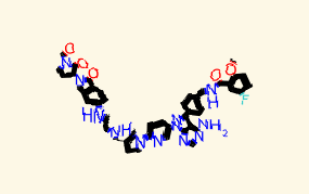 COc1ccc(F)cc1C(=O)NCc1ccc(-c2nn(-c3ccc(N4CC[C@H](CNCCNc5ccc6c(c5)CN([C@H]5CCN(C=O)C5=O)C6=O)C4)nc3)c3ncnc(N)c23)cc1